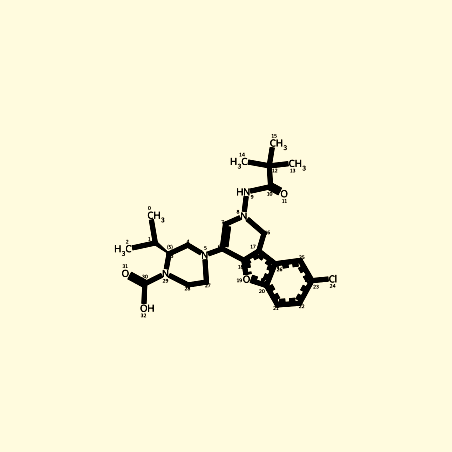 CC(C)[C@H]1CN(C2=CN(NC(=O)C(C)(C)C)Cc3c2oc2ccc(Cl)cc32)CCN1C(=O)O